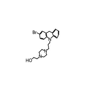 OCCN1CCN(CCCN2c3ccccc3Cc3cc(Br)ccc32)CC1